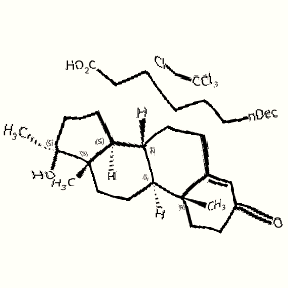 CCCCCCCCCCCCCCCC(=O)O.C[C@]12CCC(=O)C=C1CC[C@@H]1[C@@H]2CC[C@@]2(C)[C@H]1CC[C@]2(C)O.ClC(Cl)(Cl)Cl